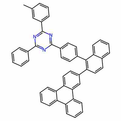 Cc1cccc(-c2nc(-c3ccccc3)nc(-c3ccc(-c4c(-c5ccc6c7ccccc7c7ccccc7c6c5)ccc5ccccc45)cc3)n2)c1